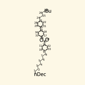 CCCCCCCCCCCCCCCCCCc1ccc(C(=O)Oc2ccc(-c3ccc(CCCC(C)CC)cc3)cc2)cc1